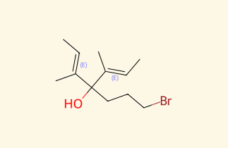 C/C=C(\C)C(O)(CCCBr)/C(C)=C/C